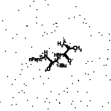 C=C(C)C(=O)N[C@H](C(=O)NCCCCC)[C@@H](C)CC